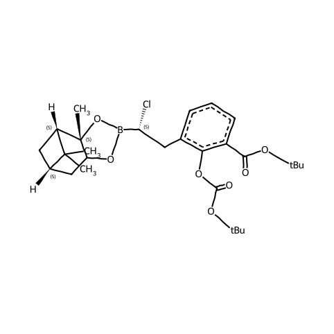 CC(C)(C)OC(=O)Oc1c(C[C@@H](Cl)B2OC3C[C@@H]4C[C@@H](C4(C)C)[C@]3(C)O2)cccc1C(=O)OC(C)(C)C